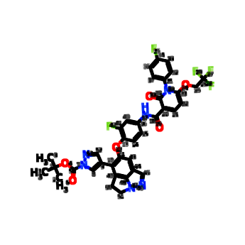 CC(C)(C)OC(=O)n1cc(-c2c(Oc3ccc(NC(=O)c4ccc(OCC(F)(F)F)n(-c5ccc(F)cc5)c4=O)cc3F)cc3cnn4c3c2CC4)cn1